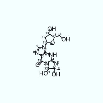 CC1(O)N=C2Nc3c(ncn3[C@H]3C[C@H](O)[C@@H](CO)O3)C(=O)N2C1O